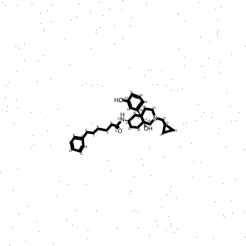 O=C(CCCCCc1ccccc1)N[C@H]1CC[C@]2(O)CN(CC3CC3)CC[C@@]2(c2cccc(O)c2)C1